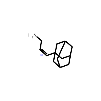 NC/C=C\C12CC3CC(CC(C3)C1)C2